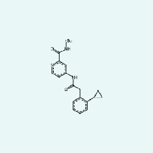 CC(C)(C)NC(=O)c1cc(NC(=O)Cc2ccccc2C2CC2)ccn1